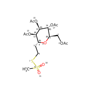 CC(=O)OC[C@H]1O[C@H](CCSS(C)(=O)=O)[C@@H](OC(C)=O)[C@@H](OC(C)=O)[C@@H]1OC(C)=O